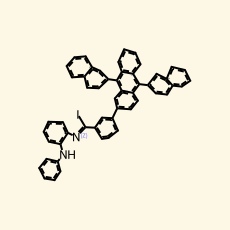 I/C(=N\c1ccccc1Nc1ccccc1)c1cccc(-c2ccc3c(-c4ccc5ccccc5c4)c4ccccc4c(-c4ccc5ccccc5c4)c3c2)c1